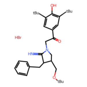 Br.CC(C)(C)OCC1CN(CC(=O)c2cc(C(C)(C)C)c(O)c(C(C)(C)C)c2)C(=N)C1Cc1ccccc1